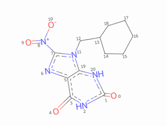 O=c1[nH]c(=O)c2nc([N+](=O)[O-])n(CC3CCCCC3)c2[nH]1